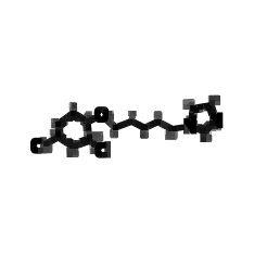 Clc1ccc(OCCCCCn2ccnc2)c(Cl)c1